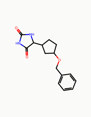 O=C1NC(=O)C(C2CCC(OCc3ccccc3)C2)N1